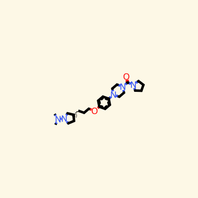 CN(C)N1CC[C@@H](CCCOc2ccc(N3CCN(C(=O)N4CCCC4)CC3)cc2)C1